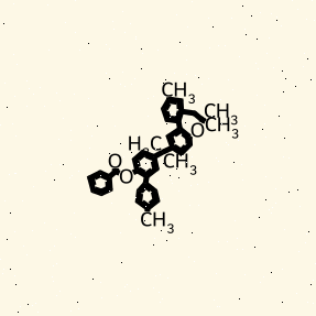 Cc1ccc(-c2cc(C(C)(C)c3ccc4c(c3)-c3ccc(C)cc3CC(C)(C)O4)ccc2OC(=O)c2ccccc2)cc1